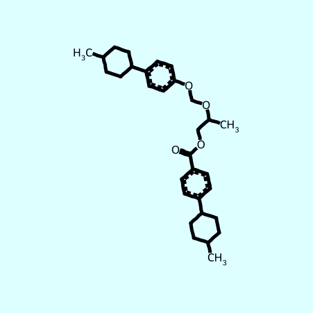 CC1CCC(c2ccc(OCOC(C)COC(=O)c3ccc(C4CCC(C)CC4)cc3)cc2)CC1